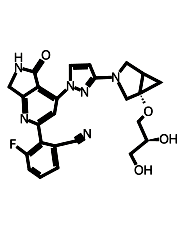 N#Cc1cccc(F)c1-c1cc(-n2ccc(N3CC4C[C@@]4(OC[C@@H](O)CO)C3)n2)c2c(n1)CNC2=O